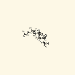 CCN[C@@H]1CC[C@]2(C)C3=C(OC(=O)[C@H]2C1)[C@@H]1CC[C@H]([C@H](C)CCCC(C)C)[C@@]1(C)CC3